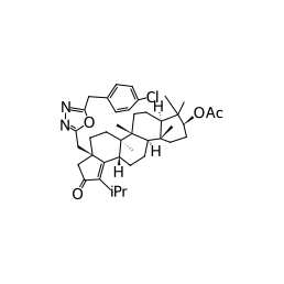 CC(=O)O[C@H]1CC[C@]2(C)[C@H]3CC[C@@H]4C5=C(C(C)C)C(=O)C[C@]5(Cc5nnc(Cc6ccc(Cl)cc6)o5)CC[C@@]4(C)[C@]3(C)CC[C@H]2C1(C)C